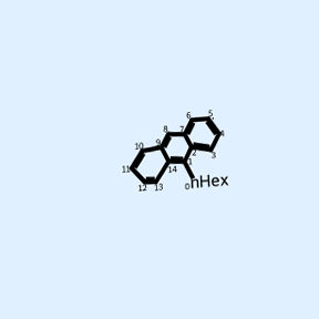 CCCCCCc1c2cc[c]cc2cc2ccccc12